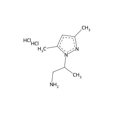 Cc1cc(C)n(C(C)CN)n1.Cl.Cl